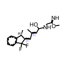 COC(=N)CNC(O)/C=C(C)/C=C1\[C@H](C)c2ccccc2C1(F)F